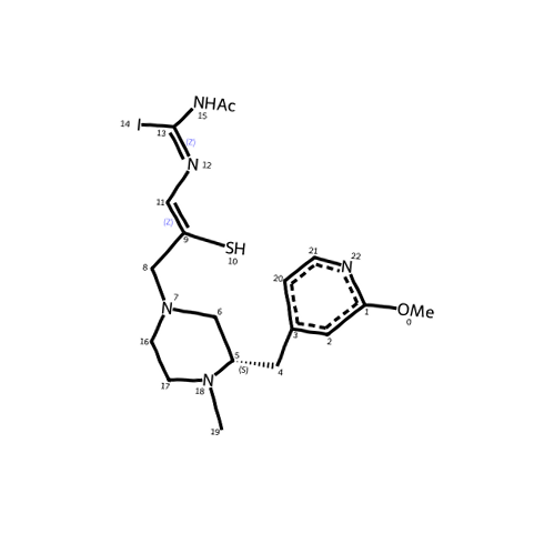 COc1cc(C[C@H]2CN(C/C(S)=C/N=C(\I)NC(C)=O)CCN2C)ccn1